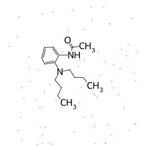 CCCCN(CCCC)c1ccccc1NC(C)=O